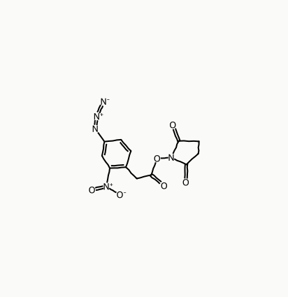 [N-]=[N+]=Nc1ccc(CC(=O)ON2C(=O)CCC2=O)c([N+](=O)[O-])c1